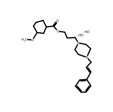 COC1CCCC(C(=O)OCCCN2CCN(CC=Cc3ccccc3)CC2)C1.Cl.Cl